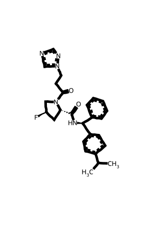 CC(C)c1ccc([C@@H](NC(=O)[C@@H]2C[C@@H](F)CN2C(=O)CCn2cncn2)c2ccccc2)cc1